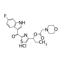 CCC(OC(=O)CN1CCOCC1)c1csc(C(=O)c2c[nH]c3cc(F)ccc23)n1.Cl